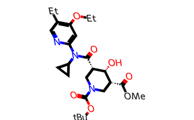 CCOc1cc(N(C(=O)[C@H]2CN(C(=O)OC(C)(C)C)C[C@@H](C(=O)OC)[C@H]2O)C2CC2)ncc1CC